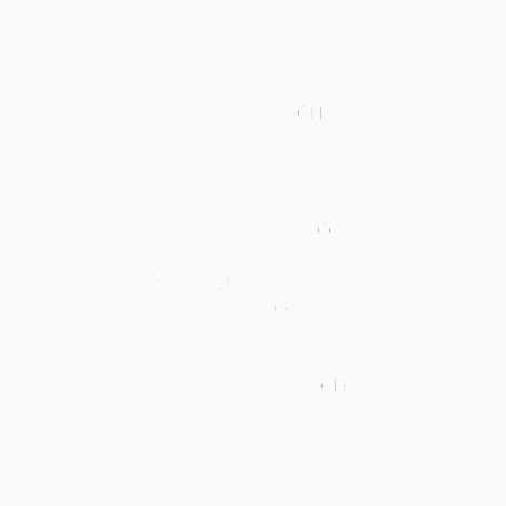 CCOC(=O)C1(Cl)CC(C)=CCCC1=O